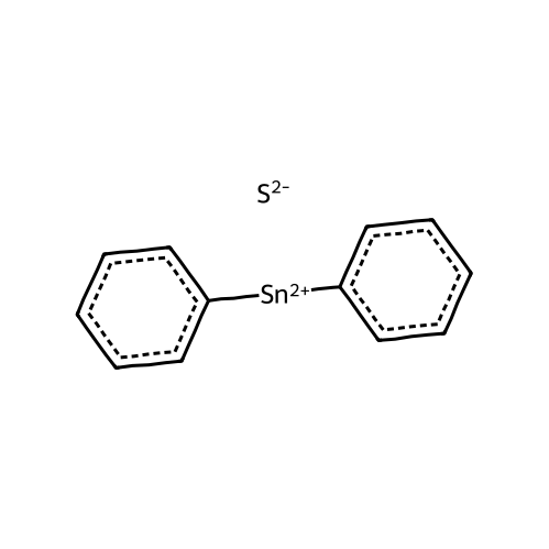 [S-2].c1cc[c]([Sn+2][c]2ccccc2)cc1